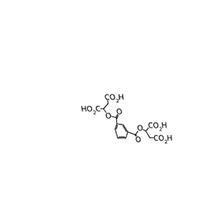 O=C(O)CC(OC(=O)c1cccc(C(=O)OC(CC(=O)O)C(=O)O)c1)C(=O)O